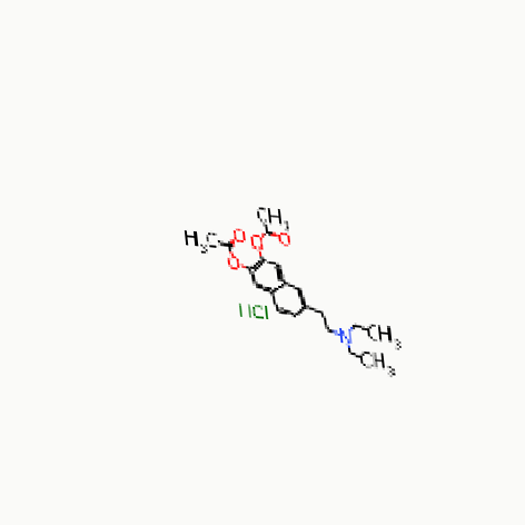 CCN(CC)CCc1ccc2cc(OC(C)=O)c(OC(C)=O)cc2c1.Cl